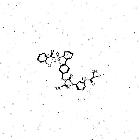 CCCCc1nn(-c2cccc(NC(=O)N(C)C(C)C)c2)c(=O)n1Cc1ccc(-c2ccccc2S(=O)(=O)NC(=O)c2ccccc2Cl)cc1